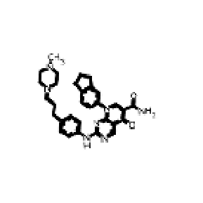 CN1CCN(CCCc2ccc(Nc3ncc4c(=O)c(C(N)=O)cn(-c5ccc6c(c5)CCC6)c4n3)cc2)CC1